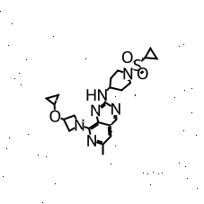 Cc1cc2cnc(NC3CCN(S(=O)(=O)C4CC4)CC3)nc2c(N2CC(OC3CC3)C2)n1